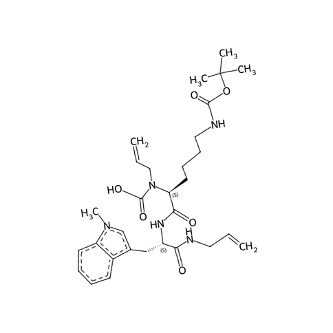 C=CCNC(=O)[C@H](Cc1cn(C)c2ccccc12)NC(=O)[C@H](CCCCNC(=O)OC(C)(C)C)N(CC=C)C(=O)O